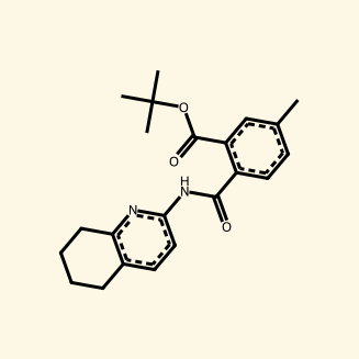 Cc1ccc(C(=O)Nc2ccc3c(n2)CCCC3)c(C(=O)OC(C)(C)C)c1